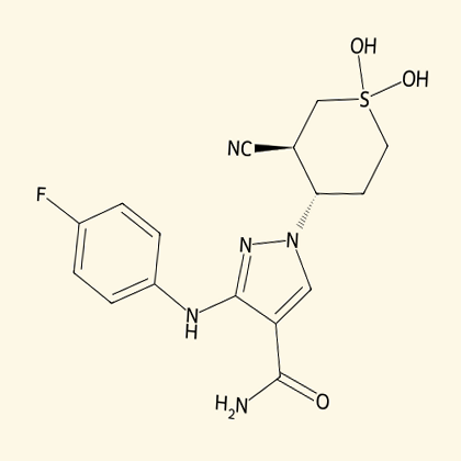 N#C[C@H]1CS(O)(O)CC[C@@H]1n1cc(C(N)=O)c(Nc2ccc(F)cc2)n1